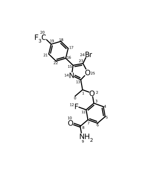 CC(Oc1cccc(C(N)=O)c1F)c1nc(-c2ccc(C(F)(F)F)cc2)c(Br)o1